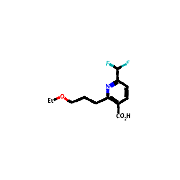 CCOCCCc1nc(C(F)F)ccc1C(=O)O